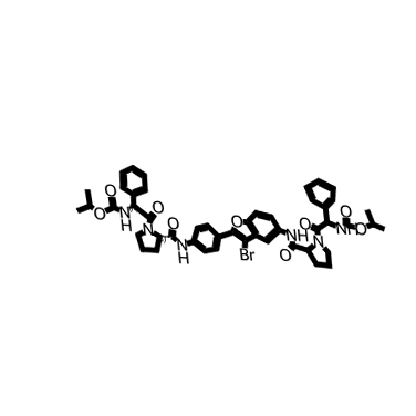 CC(C)OC(=O)NC(C(=O)N1CCCC1C(=O)Nc1ccc2oc(-c3ccc(NC(=O)[C@@H]4CCCN4C(=O)[C@H](NC(=O)OC(C)C)c4ccccc4)cc3)c(Br)c2c1)c1ccccc1